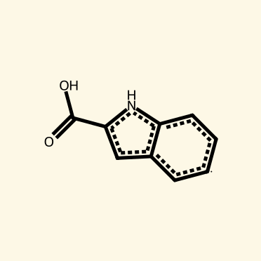 O=C(O)c1cc2c[c]ccc2[nH]1